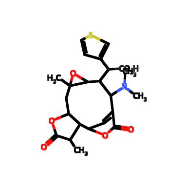 CC1C(=O)OC2CC3(C)OC3C(C(C(=O)O)c3ccsc3)C(N(C)C)C3=CC(OC3=O)C21